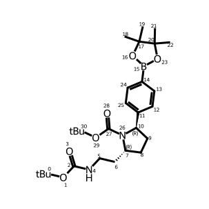 CC(C)(C)OC(=O)NCC[C@H]1CC[C@H](c2ccc(B3OC(C)(C)C(C)(C)O3)cc2)N1C(=O)OC(C)(C)C